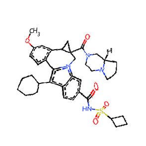 COc1ccc2c(c1)C1CC1(C(=O)N1CCN3CCC[C@H]3C1)Cn1c-2c(C2CCCCC2)c2ccc(C(=O)NS(=O)(=O)C3CCC3)cc21